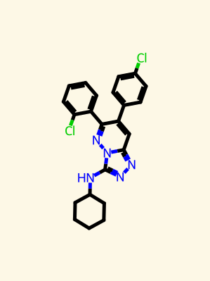 Clc1ccc(-c2cc3nnc(NC4CCCCC4)n3nc2-c2ccccc2Cl)cc1